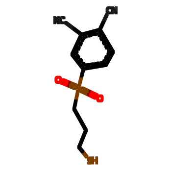 N#Cc1ccc(S(=O)(=O)CCCS)cc1C#N